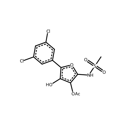 CC(=O)Oc1c(NS(C)(=O)=O)oc(-c2cc(Cl)cc(Cl)c2)c1O